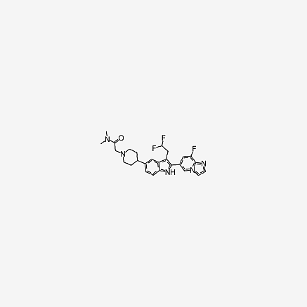 CN(C)C(=O)CN1CCC(c2ccc3[nH]c(-c4cc(F)c5nccn5c4)c(CC(F)F)c3c2)CC1